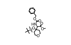 COC(=O)C(NC(=O)OCc1ccccc1)C1(O[Si](C)(C)C(C)(C)C)CCOCC1